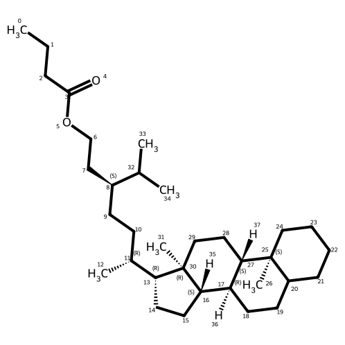 CCCC(=O)OCC[C@H](CC[C@@H](C)[C@H]1CC[C@H]2[C@@H]3CCC4CCCC[C@]4(C)[C@H]3CC[C@]12C)C(C)C